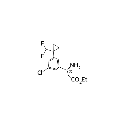 CCOC(=O)C[C@H](N)c1cc(Cl)cc(C2(C(F)F)CC2)c1